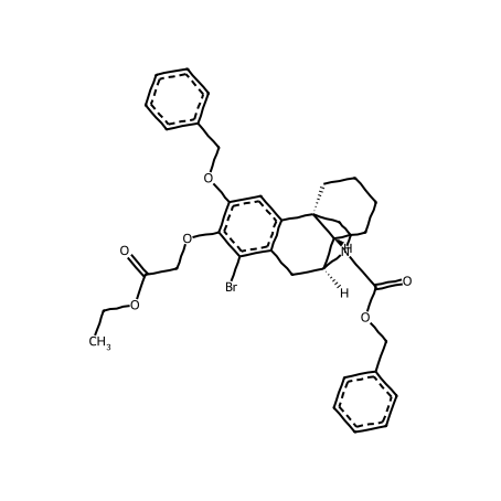 CCOC(=O)COc1c(OCc2ccccc2)cc2c(c1Br)C[C@H]1[C@H]3CCCC[C@@]23CCN1C(=O)OCc1ccccc1